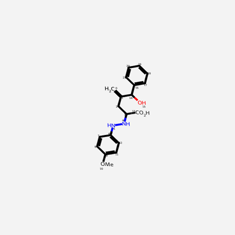 C=C(CC(NNc1ccc(OC)cc1)C(=O)O)C(O)c1ccccc1